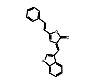 O=C1OC(C=Cc2ccccc2)=NC1=Cc1c[nH]c2ccccc12